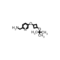 CC(C)(C)OC1CC(Oc2ccc(CN)nc2)C1